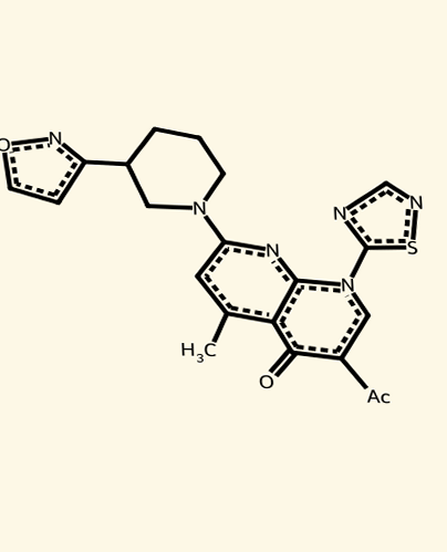 CC(=O)c1cn(-c2ncns2)c2nc(N3CCCC(c4ccon4)C3)cc(C)c2c1=O